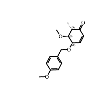 COc1ccc(CO[C@@H]2C=CC(=O)[C@@H](C)[C@@H]2OC)cc1